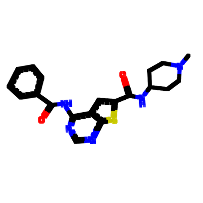 CN1CCC(NC(=O)c2cc3c(NC(=O)c4ccccc4)ncnc3s2)CC1